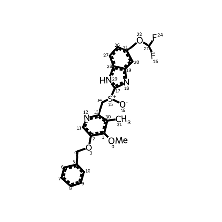 COc1c(OCc2ccccc2)cnc(C[S+]([O-])c2nc3cc(OC(F)F)ccc3[nH]2)c1C